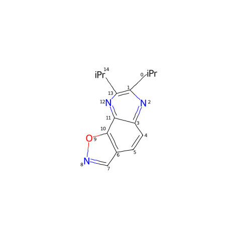 CC(C)c1nc2ccc3cnoc3c2nc1C(C)C